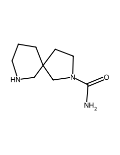 NC(=O)N1CCC2(CCCNC2)C1